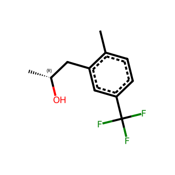 Cc1ccc(C(F)(F)F)cc1C[C@@H](C)O